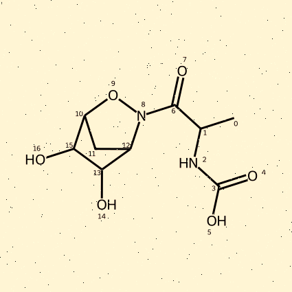 CC(NC(=O)O)C(=O)N1OC2CC1C(O)C2O